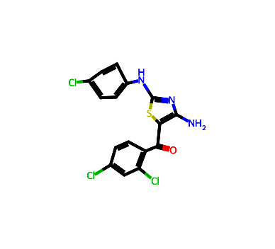 Nc1nc(Nc2ccc(Cl)cc2)sc1C(=O)c1ccc(Cl)cc1Cl